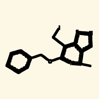 Cc1nc(OCc2ccccc2)c(CI)c2sncc12